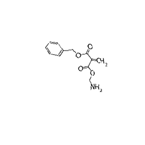 C=C(C(=O)OCN)C(=O)OCc1ccccc1